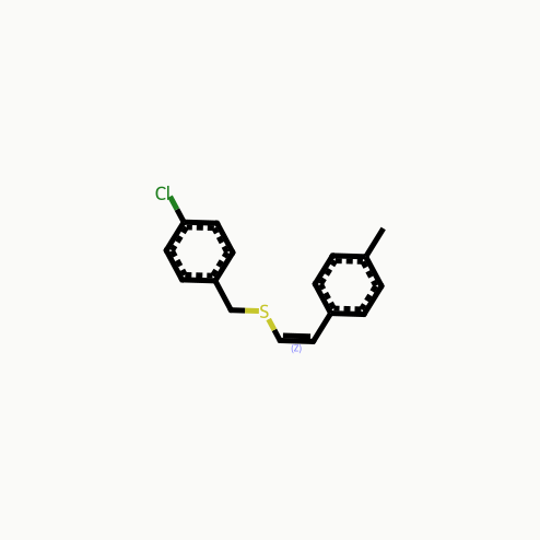 Cc1ccc(/C=C\SCc2ccc(Cl)cc2)cc1